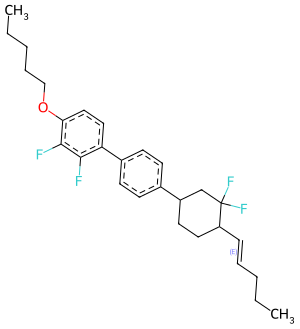 CCC/C=C/C1CCC(c2ccc(-c3ccc(OCCCCC)c(F)c3F)cc2)CC1(F)F